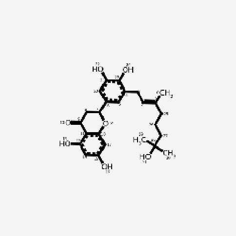 C/C(=C\Cc1cc(C2CC(=O)c3c(O)cc(O)cc3O2)cc(O)c1O)CCCC(C)(C)O